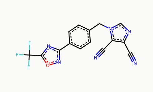 N#Cc1ncn(Cc2ccc(-c3noc(C(F)(F)F)n3)cc2)c1C#N